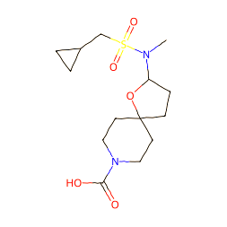 CN(C1CCC2(CCN(C(=O)O)CC2)O1)S(=O)(=O)CC1CC1